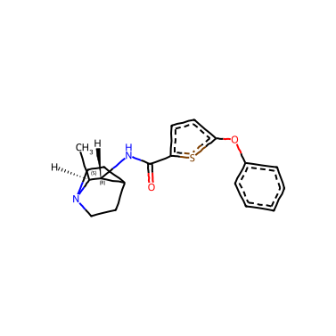 C[C@H]1[C@H](NC(=O)c2ccc(Oc3ccccc3)s2)C2CCN1CC2